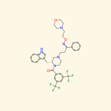 O=C(c1cc(C(F)(F)F)cc(C(F)(F)F)c1)N1CCN(CCC(=NOCCN2CCOCC2)c2ccccc2)C[C@H]1Cc1c[nH]c2ccccc12